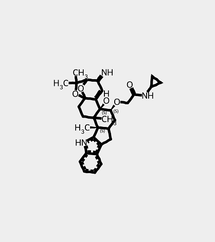 CC1(C)OC23CCC4(C)[C@@]5(C)c6[nH]c7ccccc7c6CC5C[C@H](OCC(=O)NC5CC5)[C@@]4(O)C2=CC(=N)C1O3